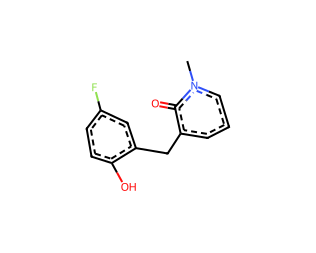 Cn1cccc(Cc2cc(F)ccc2O)c1=O